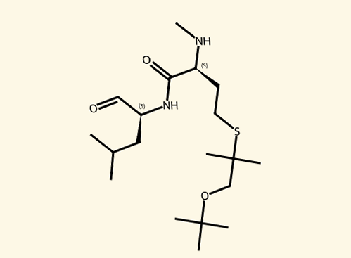 CN[C@@H](CCSC(C)(C)COC(C)(C)C)C(=O)N[C@H](C=O)CC(C)C